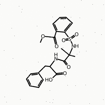 COC(=O)c1ccccc1S(=O)(=O)NC(C)(C)C(=O)NC(Cc1ccccc1)C(=O)O